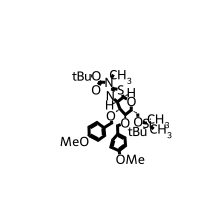 COc1ccc(CO[C@@H]2[C@H]3N=C(N(C)C(=O)OC(C)(C)C)S[C@H]3O[C@H](CO[Si](C)(C)C(C)(C)C)[C@H]2OCc2ccc(OC)cc2)cc1